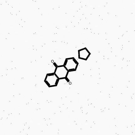 C1CCCC1.O=C1c2ccccc2C(=O)c2ccccc21